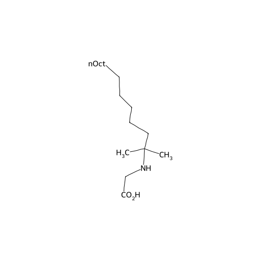 CCCCCCCCCCCCCC(C)(C)NCC(=O)O